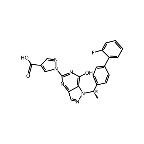 C[C@H](c1ccc(-c2ccccc2F)cc1)n1ncc2nc(-n3cc(C(=O)O)cn3)nc(O)c21